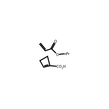 C=CC(=O)OCCC.O=C(O)C1=CCC1